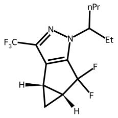 CCCC(CC)n1nc(C(F)(F)F)c2c1C(F)(F)[C@@H]1C[C@H]21